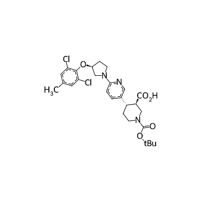 Cc1cc(Cl)c(O[C@H]2CCN(c3ccc([C@H]4CCN(C(=O)OC(C)(C)C)C[C@@H]4C(=O)O)cn3)C2)c(Cl)c1